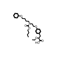 CCCCOC(=O)N(CCCCOc1ccccc1)CCOc1ccc(CC(OCC)C(=O)O)cc1